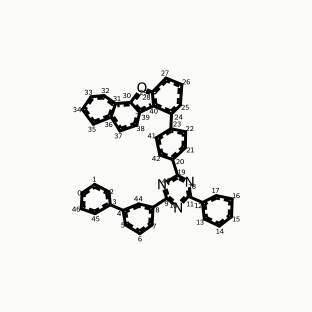 c1ccc(-c2cccc(-c3nc(-c4ccccc4)nc(-c4ccc(-c5cccc6oc7c8ccccc8ccc7c56)cc4)n3)c2)cc1